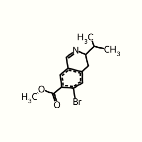 COC(=O)c1cc2c(cc1Br)CC(C(C)C)N=C2